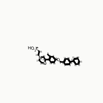 Cc1cc(OCc2ccc(-c3ccccc3)cc2)ccc1C1CN(CCC(=O)O)CCO1